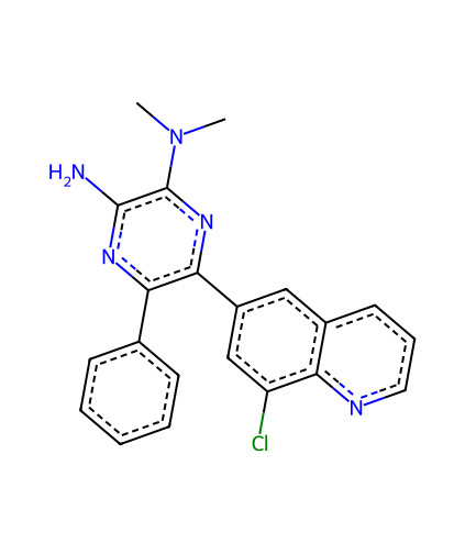 CN(C)c1nc(-c2cc(Cl)c3ncccc3c2)c(-c2ccccc2)nc1N